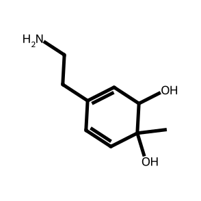 CC1(O)C=CC(CCN)=CC1O